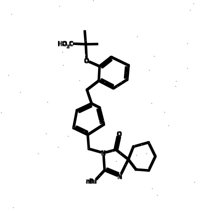 CCCCC1=NC2(CCCCC2)C(=O)N1Cc1ccc(Cc2ccccc2OC(C)(C)C(=O)O)cc1